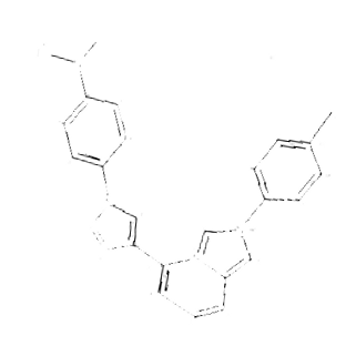 CCN(CC)c1ccc(-n2cc(-c3cccc4cn(-c5ccc(C)cc5)c[n+]34)nn2)cc1.[Cl-]